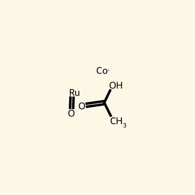 CC(=O)O.[Co].[O]=[Ru]